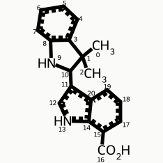 CC1(C)c2ccccc2NC1c1c[nH]c2c(C(=O)O)cccc12